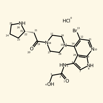 Cl.O=C(CO)Nc1c[nH]c2ncc(Br)c(N3CCN(C(=O)C[C@@H]4CCCN4)CC3)c12